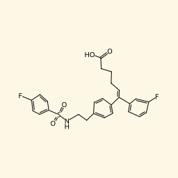 O=C(O)CCC/C=C(\c1ccc(CCNS(=O)(=O)c2ccc(F)cc2)cc1)c1cccc(F)c1